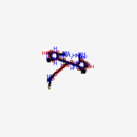 N=C(N)NCCC[C@@H]1NC(=O)[C@H](CCCCNC(=O)CCN(CCC(=O)NCCCC[C@@H]2NC(=O)N(Cc3ccccc3)NC(=O)[C@H](CC(=O)O)NC(=O)CNC(=O)[C@H](CCCNC(=N)N)NC2=O)C(=O)CCOCCOCCOCCOCCNC(=O)Cn2cc(CCCI=S)nn2)NC(=O)N(Cc2ccccc2)NC(=O)[C@H](CC(=O)O)NC(=O)CNC1=O